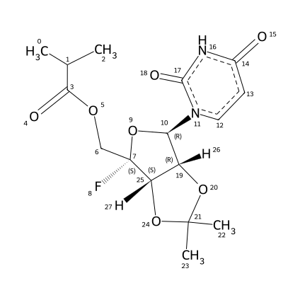 CC(C)C(=O)OC[C@@]1(F)O[C@@H](n2ccc(=O)[nH]c2=O)[C@@H]2OC(C)(C)O[C@@H]21